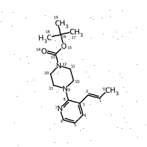 CC=Cc1cccnc1N1CCN(C(=O)OC(C)(C)C)CC1